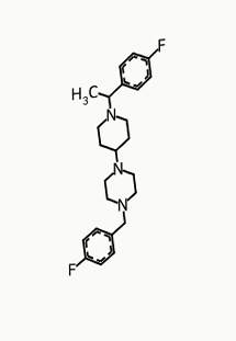 CC(c1ccc(F)cc1)N1CCC(N2CCN(Cc3ccc(F)cc3)CC2)CC1